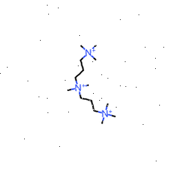 C[N+](C)(C)CCC[N+](C)(C)CCC[N+](C)(C)C